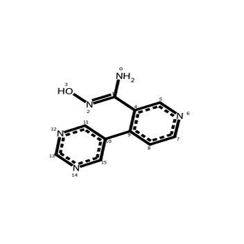 NC(=NO)c1cnccc1-c1cncnc1